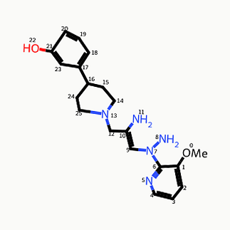 COc1cccnc1N(N)/C=C(\N)CN1CCC(c2cccc(O)c2)CC1